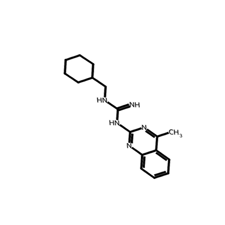 Cc1nc(NC(=N)NCC2CCCCC2)nc2ccccc12